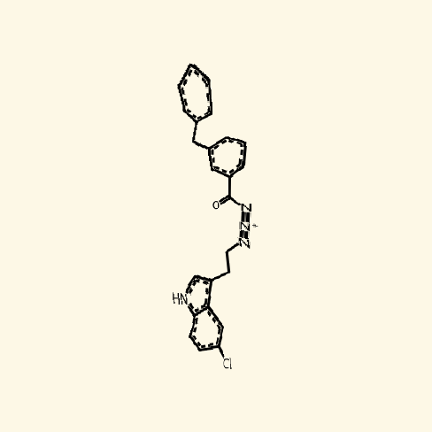 O=C(N=[N+]=NCCc1c[nH]c2ccc(Cl)cc12)c1cccc(Cc2ccccc2)c1